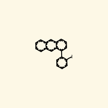 Ic1ccccc1-c1cccc2cc3ccccc3cc12